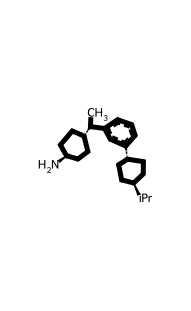 CC(C)[C@H]1CC[C@H](c2cccc(C(C)[C@H]3CC[C@H](N)CC3)c2)CC1